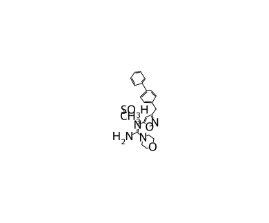 CS(=O)(=O)O.N/C(=N/c1cc(Cc2ccc(-c3ccccc3)cc2)no1)N1CCOCC1